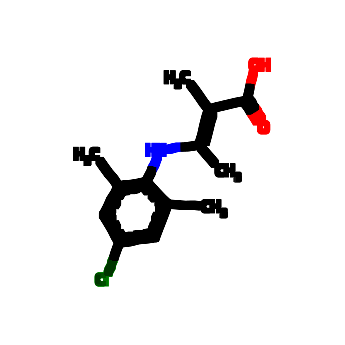 CC(Nc1c(C)cc(Cl)cc1C)=C(C)C(=O)O